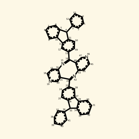 c1ccc(C2c3ccccc3-c3cc(/C4=N/c5ccncc5/C(c5ccc6c(c5)-c5ccccc5C6c5ccccc5)=N\c5ccncc54)ccc32)cc1